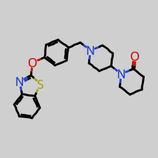 O=C1CCCCN1C1CCN(Cc2ccc(Oc3nc4ccccc4s3)cc2)CC1